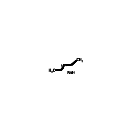 CCPCC.[NaH]